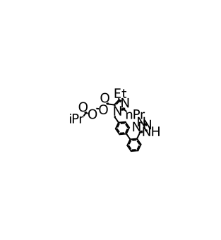 CCCc1nc(CC)c(C(=O)OCOC(=O)C(C)C)n1Cc1ccc(-c2ccccc2-c2nnn[nH]2)cc1